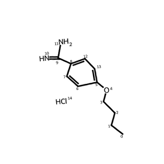 CCCCOc1ccc(C(=N)N)cc1.Cl